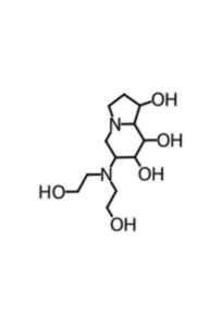 OCCN(CCO)C1CN2CCC(O)C2C(O)C1O